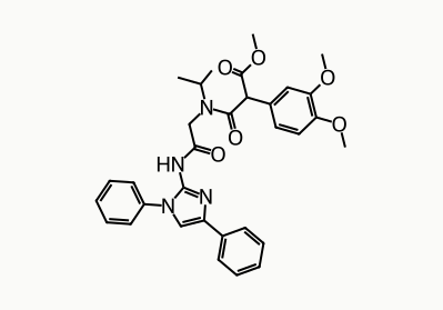 COC(=O)C(C(=O)N(CC(=O)Nc1nc(-c2ccccc2)cn1-c1ccccc1)C(C)C)c1ccc(OC)c(OC)c1